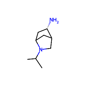 CC(C)N1CC2CC1C[C@@H]2N